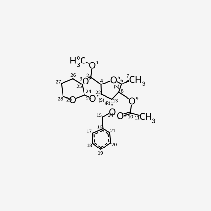 COC(=O)C1O[C@@H](C)C(OC(C)=O)[C@H](OCc2ccccc2)[C@@H]1OC1CCCCO1